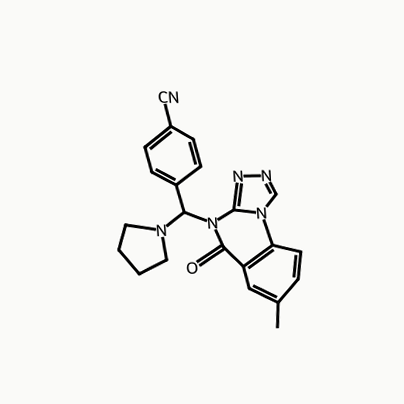 Cc1ccc2c(c1)c(=O)n(C(c1ccc(C#N)cc1)N1CCCC1)c1nncn21